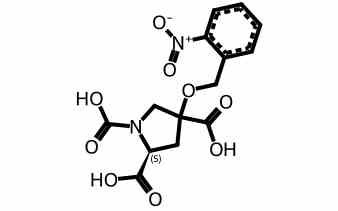 O=C(O)[C@@H]1CC(OCc2ccccc2[N+](=O)[O-])(C(=O)O)CN1C(=O)O